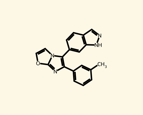 Cc1cccc(-c2nc3occn3c2-c2ccc3cn[nH]c3c2)c1